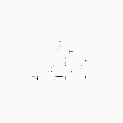 COC(=O)c1ccc(CN)c2cn[nH]c12